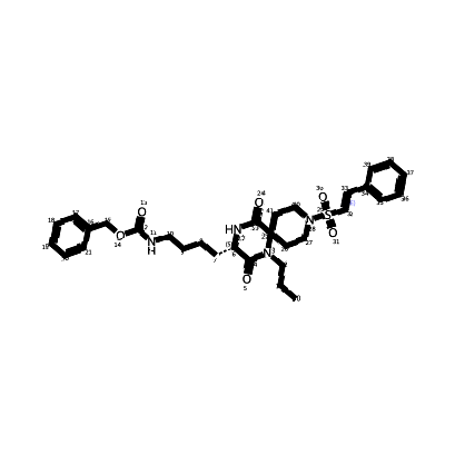 CCCN1C(=O)[C@H](CCCCNC(=O)OCc2ccccc2)NC(=O)C12CCN(S(=O)(=O)/C=C/c1ccccc1)CC2